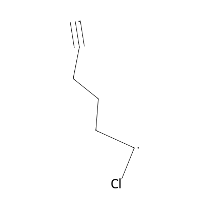 [C]#CCCC[CH]Cl